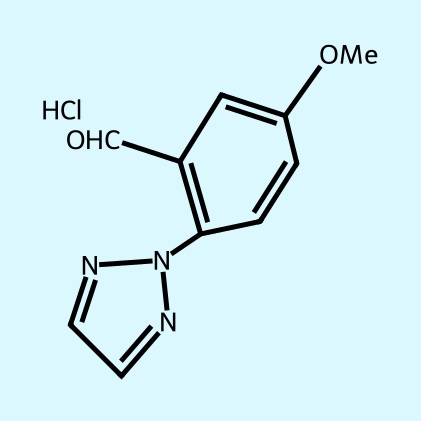 COc1ccc(-n2nccn2)c(C=O)c1.Cl